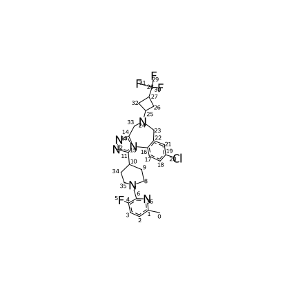 Cc1ccc(F)c(N2CCC(c3nnc4n3-c3ccc(Cl)cc3CN(C3CC(C(F)(F)F)C3)C4)CC2)n1